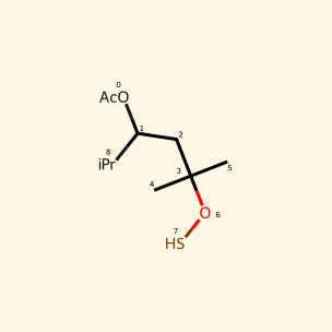 CC(=O)OC(CC(C)(C)OS)C(C)C